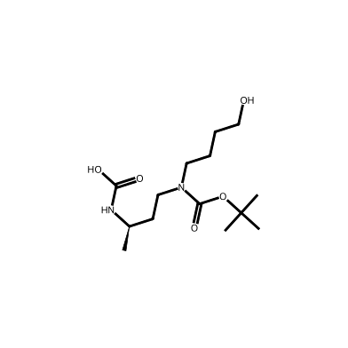 C[C@H](CCN(CCCCO)C(=O)OC(C)(C)C)NC(=O)O